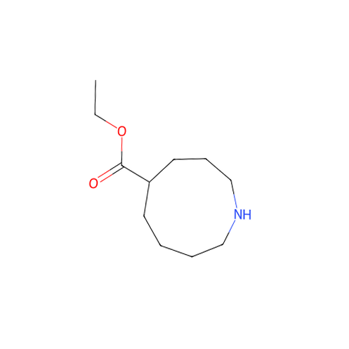 CCOC(=O)C1CCCCNCCC1